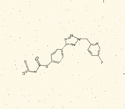 O=C(N=S(=O)=O)Oc1ccc(-c2nnn(Cc3ccc(F)cn3)n2)cc1